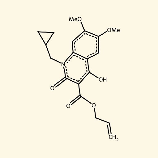 C=CCOC(=O)c1c(O)c2cc(OC)c(OC)cc2n(CC2CC2)c1=O